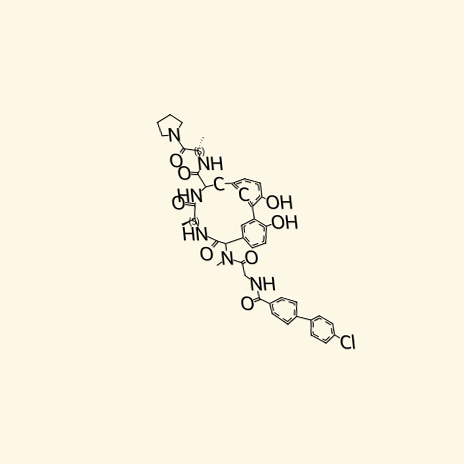 C[C@@H]1NC(=O)C(N(C)C(=O)CNC(=O)c2ccc(-c3ccc(Cl)cc3)cc2)c2ccc(O)c(c2)-c2cc(ccc2O)CC(C(=O)N[C@@H](C)C(=O)N2CCCC2)NC1=O